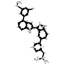 COc1cc(F)cc(-c2cccc3[nH]c(-c4n[nH]c5ccc(-c6cncc(CN(C)C)c6)cc45)cc23)c1